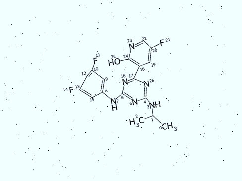 CC(C)Nc1nc(Nc2cc(F)cc(F)c2)nc(-c2cc(F)cnc2O)n1